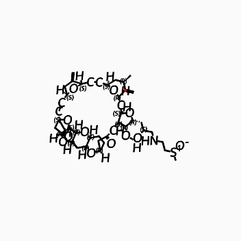 C=C1C[C@@H]2CC[C@@]34C[C@H]5O[C@@H]6C(O3)[C@H]3O[C@H](CC[C@@H]3O[C@H]6[C@H]5O4)CC(=O)C[C@@H]3[C@@H](OC)[C@@H](C[C@H](O)CNCC[S+](C)[O-])O[C@H]3C[C@H]3O[C@@H](CC[C@@H]1O2)C[C@@H](C)C3=C